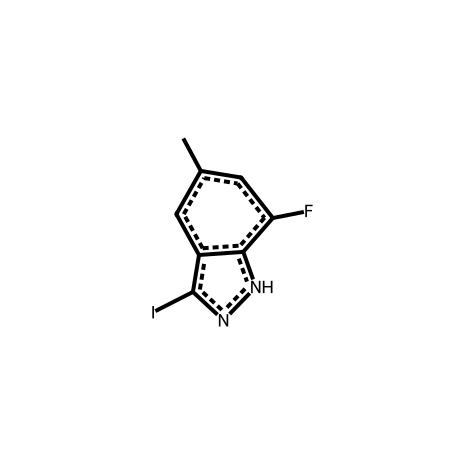 Cc1cc(F)c2[nH]nc(I)c2c1